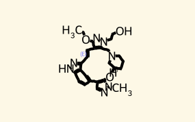 CCOc1nn(CCO)c2c1/C=C/c1n[nH]c3ccc(cc13)-c1cnn(C)c1O[C@@H]1CCCN(C2)C1